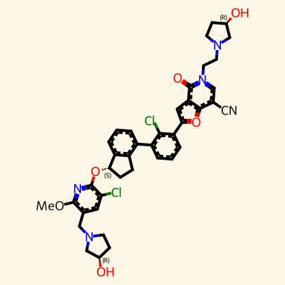 COc1nc(O[C@H]2CCc3c(-c4cccc(-c5cc6c(=O)n(CCN7CC[C@@H](O)C7)cc(C#N)c6o5)c4Cl)cccc32)c(Cl)cc1CN1CC[C@@H](O)C1